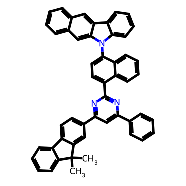 CC1(C)c2ccccc2-c2ccc(-c3cc(-c4ccccc4)nc(-c4ccc(-n5c6ccccc6c6cc7ccccc7cc65)c5ccccc45)n3)cc21